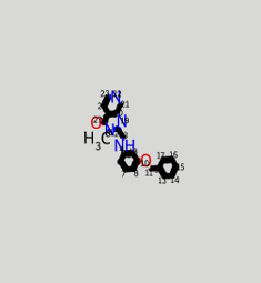 Cn1c(CNc2cccc(OCc3ccccc3)c2)nc2cnccc2c1=O